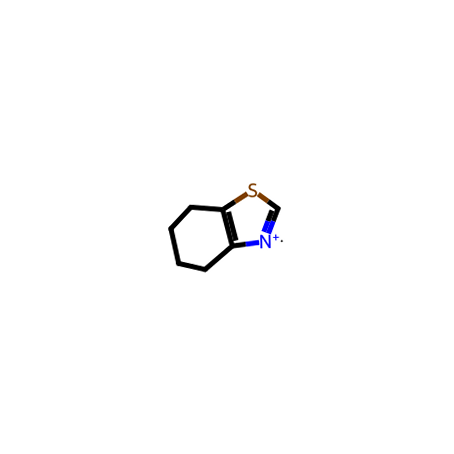 C1=[N+]C2=C(CCCC2)S1